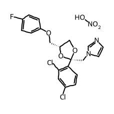 Fc1ccc(OC[C@@H]2CO[C@@](Cn3ccnc3)(c3ccc(Cl)cc3Cl)O2)cc1.O=[N+]([O-])O